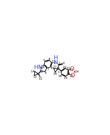 C=C(Nc1ccc2c(c1)CC(C1(C)CC1)N2)C1(c2ccc3c(c2)OCO3)CC1